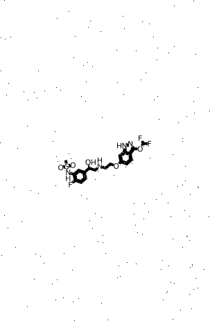 CS(=O)(=O)Nc1cc([C@@H](O)CNCCOc2ccc3c(OC(F)F)n[nH]c3c2)ccc1F